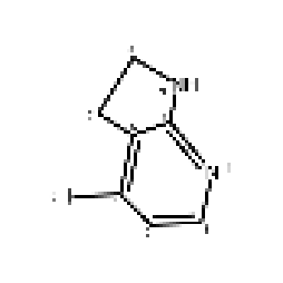 Ic1ccnc2c1CCN2